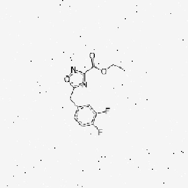 CCOC(=O)c1noc(Cc2ccc(F)c(F)c2)n1